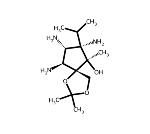 CC(C)[C@]1(N)[C@@H](N)[C@H](N)[C@]2(COC(C)(C)O2)[C@]1(C)O